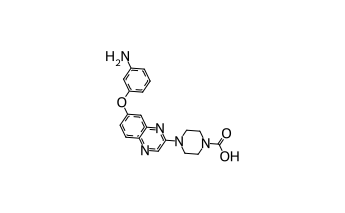 Nc1cccc(Oc2ccc3ncc(N4CCN(C(=O)O)CC4)nc3c2)c1